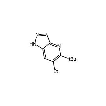 CCc1cc2[nH]ncc2nc1C(C)(C)C